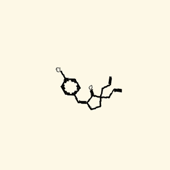 C=CCC1(CC=C)CC/C(=C/c2ccc(Cl)cc2)C1=O